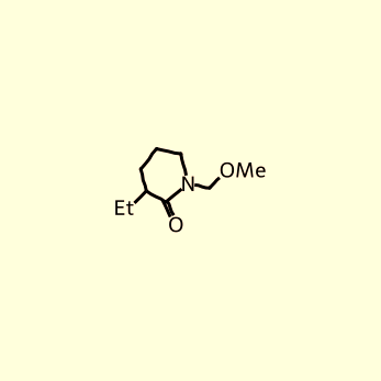 CCC1CCCN(COC)C1=O